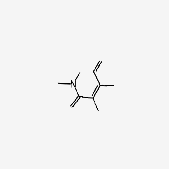 C=C/C(C)=C(/C)C(=C)N(C)C